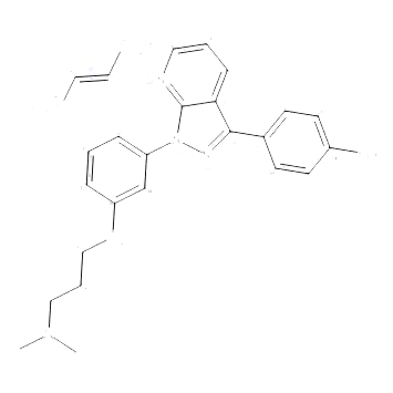 CN(C)CCCOc1cccc(-n2nc(-c3ccc(Cl)cc3)c3cccnc32)c1.O=C(O)/C=C/C(=O)O